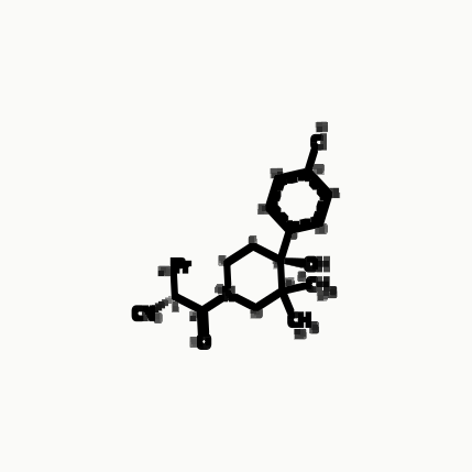 [C-]#[N+][C@@H](C(=O)N1CC[C@](O)(c2ccc(Cl)cc2)C(C)(C)C1)C(C)C